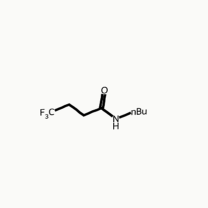 CCCCNC(=O)CCC(F)(F)F